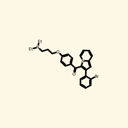 CCN(CC)CCCOc1ccc(C(=O)c2c(-c3ccccc3Br)cc3ccccn23)cc1